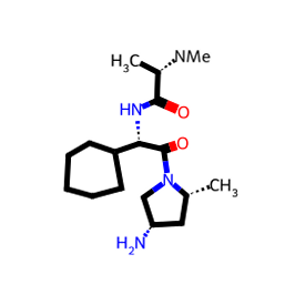 CN[C@@H](C)C(=O)N[C@H](C(=O)N1C[C@@H](N)C[C@H]1C)C1CCCCC1